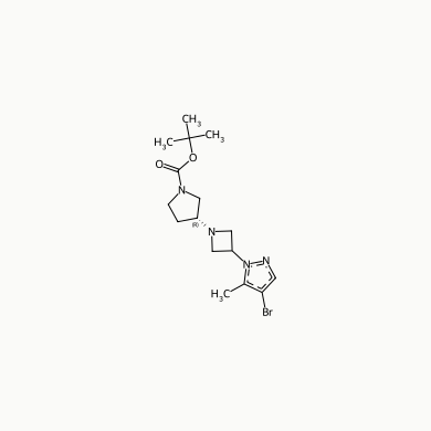 Cc1c(Br)cnn1C1CN([C@@H]2CCN(C(=O)OC(C)(C)C)C2)C1